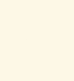 C=C1OC(C)C(=C)OC1C